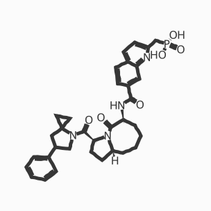 O=C(N[C@H]1CCCC[C@H]2CC[C@@H](C(=O)N3CC(c4ccccc4)CC34CC4)N2C1=O)c1ccc2ccc(CP(=O)(O)O)nc2c1